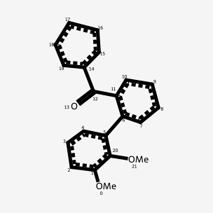 COc1cccc(-c2ccccc2C(=O)c2ccccc2)c1OC